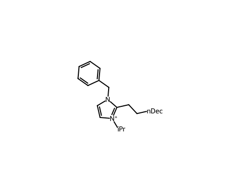 CCCCCCCCCCCCc1n(Cc2ccccc2)cc[n+]1C(C)C